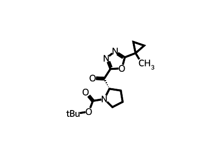 CC(C)(C)OC(=O)N1CCC[C@H]1C(=O)c1nnc(C2(C)CC2)o1